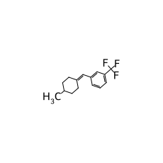 CC1CCC(=Cc2cccc(C(F)(F)F)c2)CC1